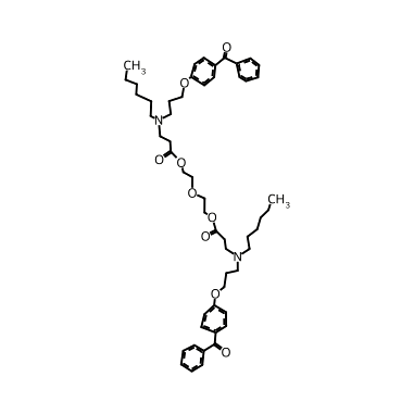 CCCCCCN(CCCOc1ccc(C(=O)c2ccccc2)cc1)CCC(=O)OCCOCCOC(=O)CCN(CCCCCC)CCCOc1ccc(C(=O)c2ccccc2)cc1